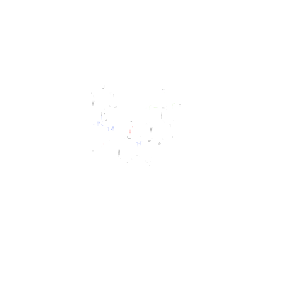 Cc1ccc(C(=O)NNc2ccccc2)c(=O)n1-c1cccc(C(F)(F)F)c1